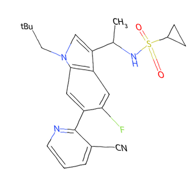 CC(NS(=O)(=O)C1CC1)c1cn(CC(C)(C)C)c2cc(-c3ncccc3C#N)c(F)cc12